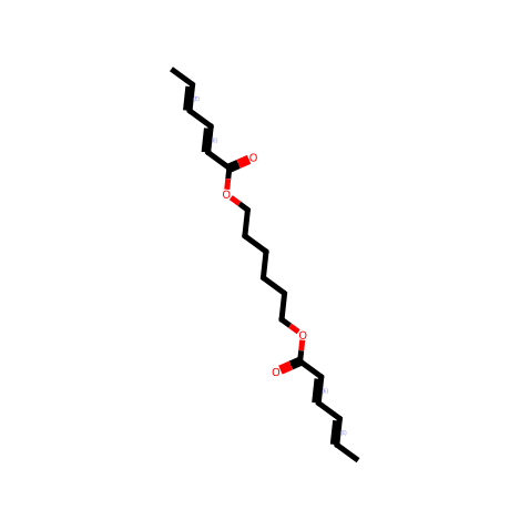 C/C=C/C=C/C(=O)OCCCCCCOC(=O)/C=C/C=C/C